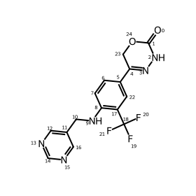 O=C1NN=C(c2ccc(NCc3cncnc3)c(C(F)(F)F)c2)CO1